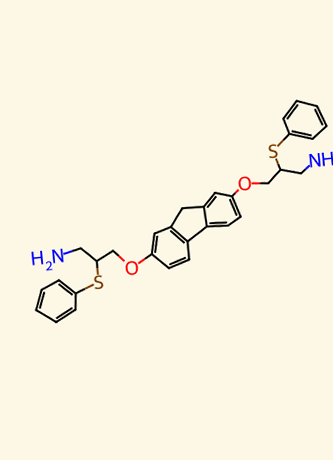 NCC(COc1ccc2c(c1)Cc1cc(OCC(CN)Sc3ccccc3)ccc1-2)Sc1ccccc1